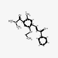 CCOc1cc(C(=O)N(C)C)c(C)cc1C=CC(=O)c1ccccc1